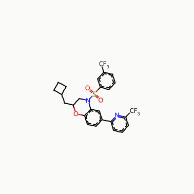 O=S(=O)(c1cccc(C(F)(F)F)c1)N1CC(CC2CCC2)Oc2ccc(-c3cccc(C(F)(F)F)n3)cc21